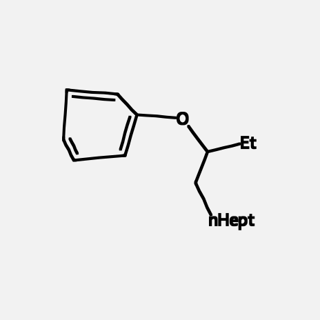 CCCCCCCCC(CC)Oc1ccccc1